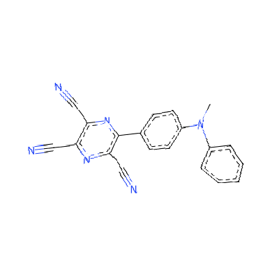 CN(c1ccccc1)c1ccc(-c2nc(C#N)c(C#N)nc2C#N)cc1